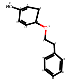 N#CC1=CCC(OCCc2ccccc2)C=C1